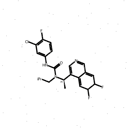 CC(C)CN(C(=O)Nc1ccc(F)c(Cl)c1)[C@H](C)c1cncc2c1=CC(F)C(F)C=2